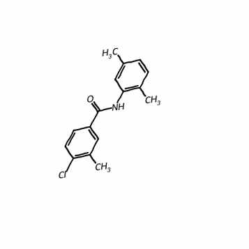 Cc1ccc(C)c(NC(=O)c2ccc(Cl)c(C)c2)c1